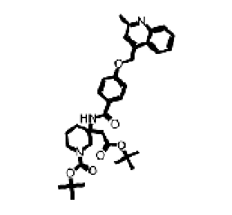 Cc1cc(COc2ccc(C(=O)NC3(CC(=O)OC(C)(C)C)CCCN(C(=O)OC(C)(C)C)C3)cc2)c2ccccc2n1